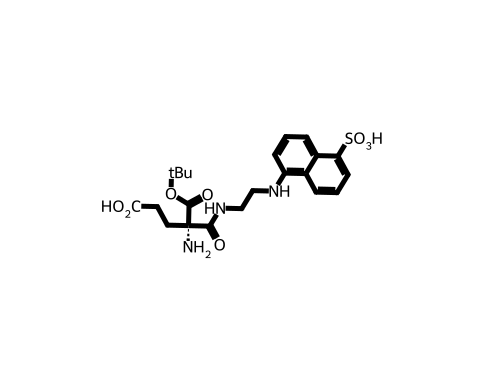 CC(C)(C)OC(=O)[C@](N)(CCC(=O)O)C(=O)NCCNc1cccc2c(S(=O)(=O)O)cccc12